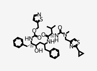 CC(C)[C@H](NC(=O)N(C)Cc1csc(C2CC2)n1)C(=O)NC(Cc1ccccc1)CC(O)[C@H](Cc1ccccc1)NC(=O)OCc1ccns1